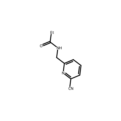 CCC(=O)NCc1cccc(C#N)n1